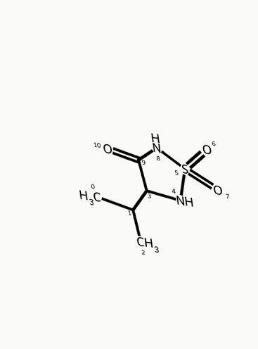 CC(C)C1NS(=O)(=O)NC1=O